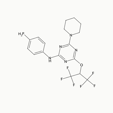 FC(F)(F)C(Oc1nc(Nc2ccc(P)cc2)nc(N2CCCCC2)n1)C(F)(F)F